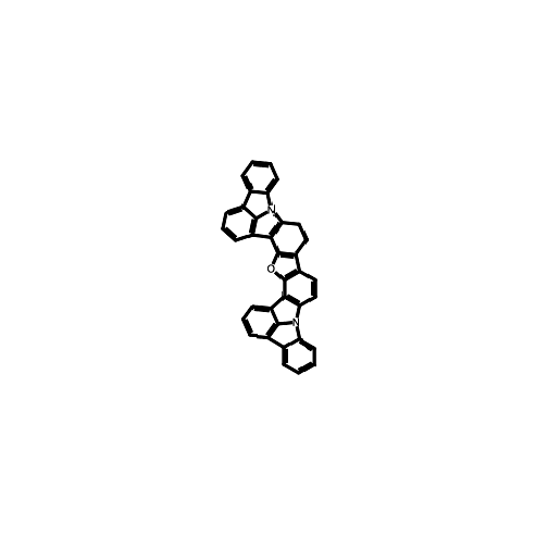 c1ccc2c(c1)c1cccc3c4c(n2c31)CCc1c-4oc2c1ccc1c2c2cccc3c4ccccc4n1c32